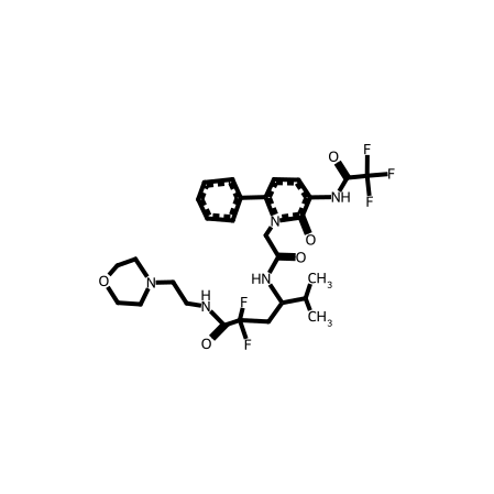 CC(C)C(CC(F)(F)C(=O)NCCN1CCOCC1)NC(=O)Cn1c(-c2ccccc2)ccc(NC(=O)C(F)(F)F)c1=O